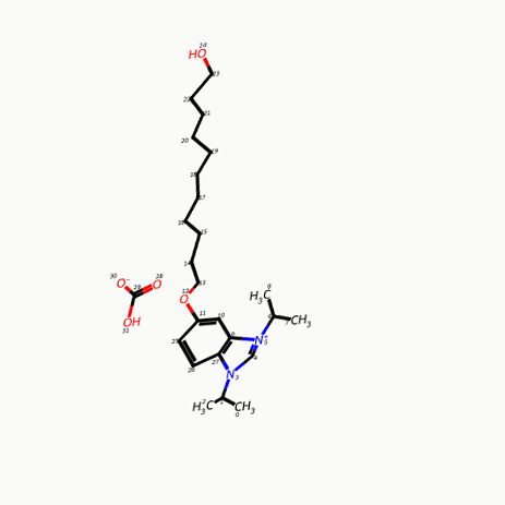 CC(C)n1c[n+](C(C)C)c2cc(OCCCCCCCCCCCO)ccc21.O=C([O-])O